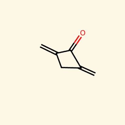 C=C1CC(=C)C1=O